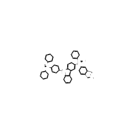 O=P(c1ccccc1)(c1ccccc1)c1ccc(-n2c3ccccc3c3cc(P(=O)(c4ccccc4)c4ccc5c(c4)CN=C5)ccc32)cc1